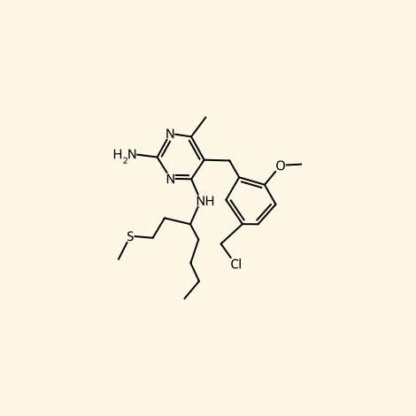 CCCCC(CCSC)Nc1nc(N)nc(C)c1Cc1cc(CCl)ccc1OC